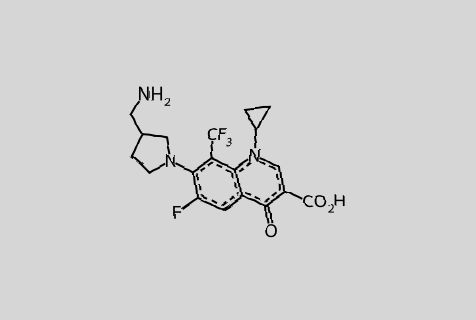 NCC1CCN(c2c(F)cc3c(=O)c(C(=O)O)cn(C4CC4)c3c2C(F)(F)F)C1